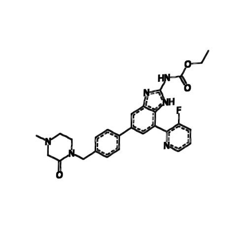 CCOC(=O)Nc1nc2cc(-c3ccc(CN4CCN(C)CC4=O)cc3)cc(-c3ncccc3F)c2[nH]1